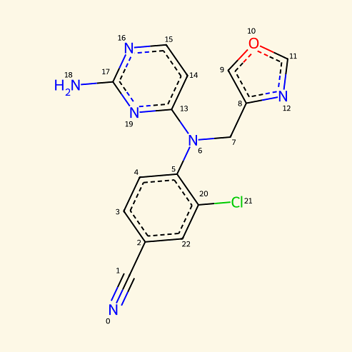 N#Cc1ccc(N(Cc2cocn2)c2ccnc(N)n2)c(Cl)c1